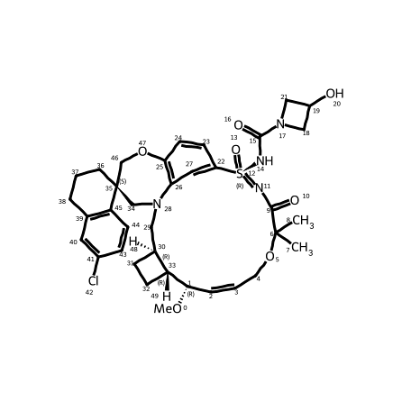 CO[C@H]1C=CCOC(C)(C)C(=O)N=[S@](=O)(NC(=O)N2CC(O)C2)c2ccc3c(c2)N(C[C@@H]2CC[C@H]21)C[C@@]1(CCCc2cc(Cl)ccc21)CO3